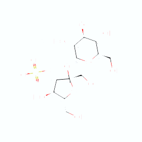 O=S(=O)([O-])O[C@H]1[C@H](O)[C@@H](CO)O[C@@]1(CO)O[C@H]1O[C@H](CO)[C@@H](O)[C@H](O)[C@H]1O.[K+]